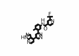 Cc1ccc(NC(=O)c2ccnc(C(C)(C)F)c2)cc1-c1cc(-c2ccnc3[nH]ncc23)cnn1